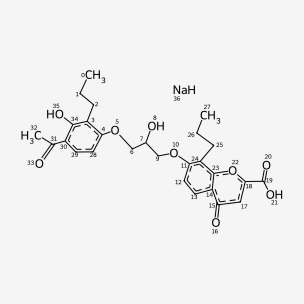 CCCc1c(OCC(O)COc2ccc3c(=O)cc(C(=O)O)oc3c2CCC)ccc(C(C)=O)c1O.[NaH]